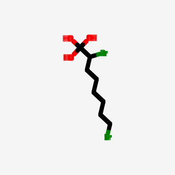 OC(O)(O)C(Br)CCCCCCBr